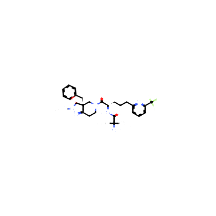 CN1N=C2CCN(C(=O)[C@@H](CCCc3cccc(C(F)(F)F)n3)NC(=O)C(C)(C)N)C[C@@]2(Cc2ccccc2)C1=O